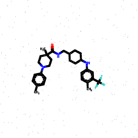 Cc1ccc(N2CCC(C)(C(=O)NCC3CCC(Nc4ccc(C)c(C(F)(F)F)c4)CC3)CC2)cc1